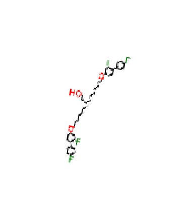 OCCC(CCCCCCCOc1ccc(-c2ccc(F)cc2)c(F)c1)CCCCCCCOc1ccc(-c2ccc(F)cc2)c(F)c1